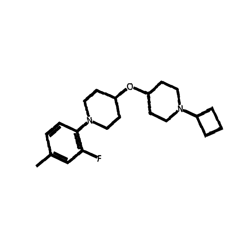 Cc1ccc(N2CCC(OC3CCN(C4CCC4)CC3)CC2)c(F)c1